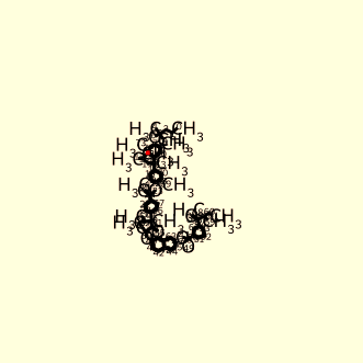 CCCC(C)(C)Oc1c(C)cc(C(C)(CC(C)C)c2cc(C)c(OC(=O)c3ccc(C(C)(CC)C(=O)C(CC)Oc4ccc5ccc(OC(=O)c6cccc(C(=O)C(C)(C)CC)c6)cc5c4)cc3)c(C)c2)cc1C